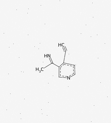 C#Cc1ccncc1C(C)=N